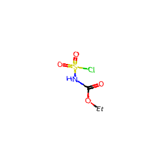 CCOC(=O)NS(=O)(=O)Cl